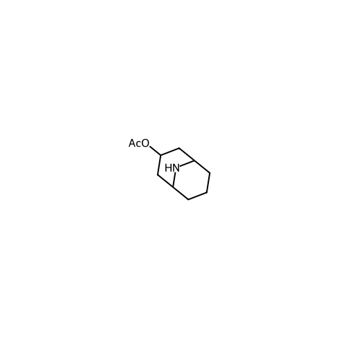 CC(=O)OC1CC2CCCC(C1)N2